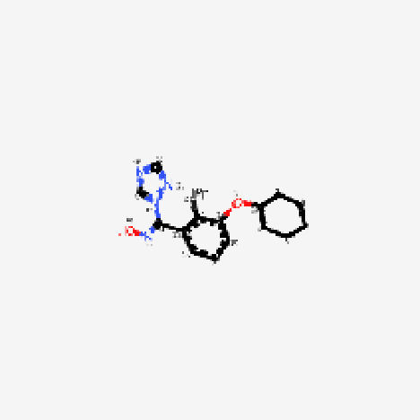 CC(C)c1c(OC2CCCCC2)cccc1C(=NO)n1cncn1